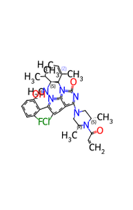 C=CC(=O)N1[C@H](C)CN(c2nc(=O)n(C(/C(C)=C\C)[C@@H](N=C)C(C)C)c3nc(-c4c(O)cccc4F)c(Cl)cc23)C[C@@H]1C